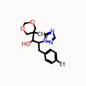 CCc1ccc(CC(C(O)C2(C)COCOC2)n2cncn2)cc1